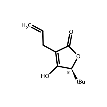 C=CCC1=C(O)[C@H](C(C)(C)C)OC1=O